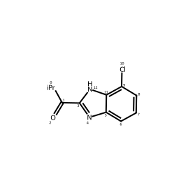 CC(C)C(=O)c1nc2cccc(Cl)c2[nH]1